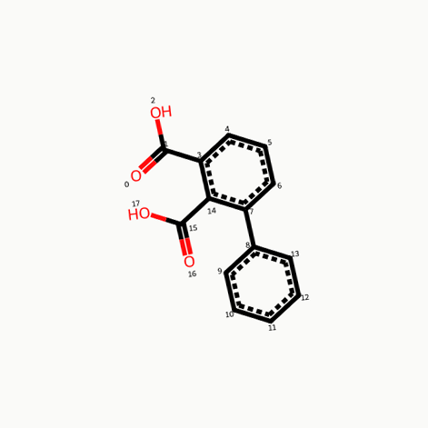 O=C(O)c1cccc(-c2ccccc2)c1C(=O)O